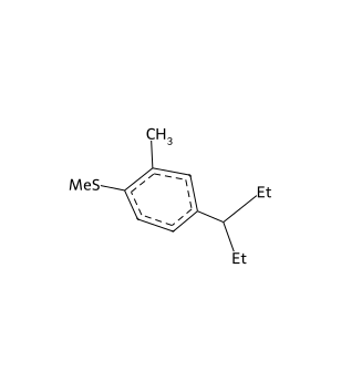 CCC(CC)c1ccc(SC)c(C)c1